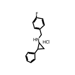 Cl.Fc1ccc(CNC2CC2c2ccccc2)cc1